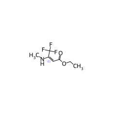 CCOC(=O)/C=C(/NC)C(F)(F)F